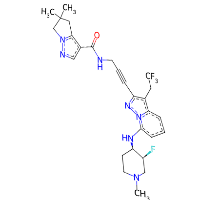 CN1CC[C@@H](Nc2cccc3c(CC(F)(F)F)c(C#CCNC(=O)c4cnn5c4CC(C)(C)C5)nn23)[C@@H](F)C1